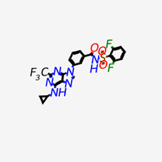 O=C(NS(=O)(=O)c1c(F)cccc1F)c1cccc(-n2cnc3c(NC4CC4)nc(C(F)(F)F)nc32)c1